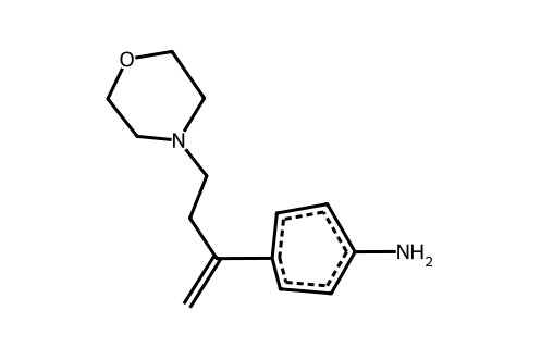 C=C(CCN1CCOCC1)c1ccc(N)cc1